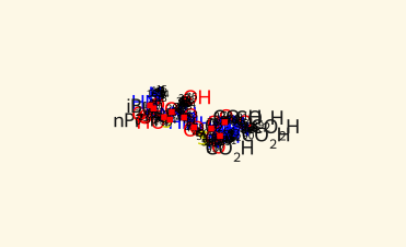 CCCC(=O)OCN(C(=O)[C@@H](NC(=O)[C@H]1CCCCN1C)C(C)CC)[C@H](C[C@@H](O)c1nc(C(=O)N[C@@H](Cc2ccc(O)cc2)C[C@H](C)C(=O)NNC(=O)OCCSSC[C@H](NC(=O)[C@H](Cc2ccccc2)NC(=O)[C@H](CC(=O)O)NC(=O)[C@H](NC(=O)CC[C@@H](NC(=O)N[C@H](CCC(=O)O)C(=O)O)C(=O)O)C(=O)O)C(=O)O)cs1)C(C)C